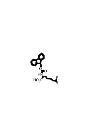 O=C(NC(CCCCC(F)F)C(=O)O)OCC1c2ccccc2-c2ccccc21